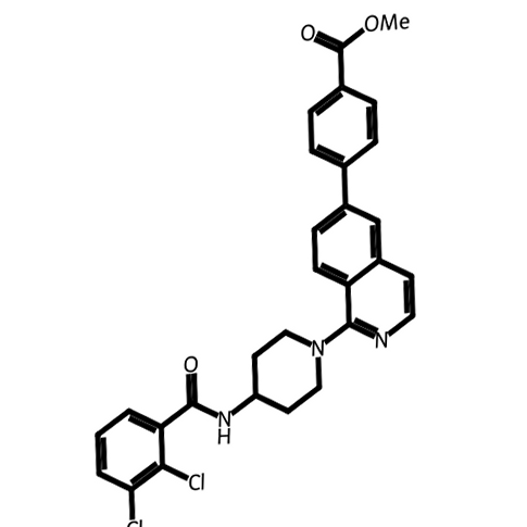 COC(=O)c1ccc(-c2ccc3c(N4CCC(NC(=O)c5cccc(Cl)c5Cl)CC4)nccc3c2)cc1